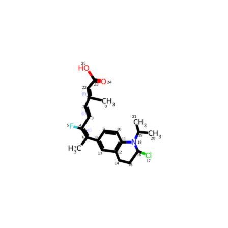 CC(/C=C/C(F)=C(/C)c1ccc2c(c1)CCC(Cl)N2C(C)C)=C\C(=O)O